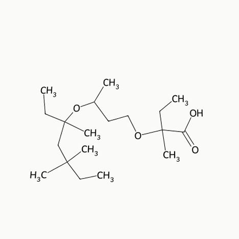 CCC(C)(C)CC(C)(CC)OC(C)CCOC(C)(CC)C(=O)O